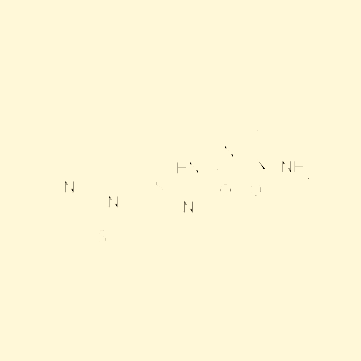 Cc1nc(NC(=O)N2CCC[C@H]2C(N)=O)sc1-c1csc(CN(C)C)n1